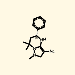 CC(=O)C1=C2N[C@@H](c3ccccc3)CC(C)(C)N2N(C)C1